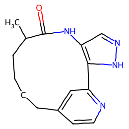 CC1CCCCc2ccnc(c2)-c2[nH]ncc2NC1=O